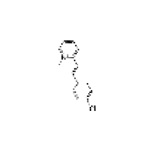 C[n+]1ccccc1C=Cc1ccc(Cl)cc1